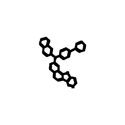 c1ccc(-c2ccc(N(c3ccc4ccccc4c3)c3ccc4ccc5c6cnccc6oc5c4c3)cc2)cc1